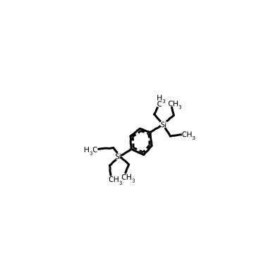 CC[Si](CC)(CC)c1ccc([Si](CC)(CC)CC)cc1